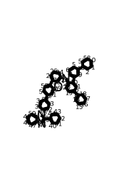 c1ccc(-c2ccc3c(c2)c2cc(-c4ccccc4)ccc2n3-c2cccc3c2oc2cc(-c4ccc(-n5c(-c6ccccc6)nc6ccccc65)cc4)ccc23)cc1